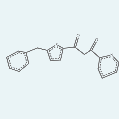 O=C(CC(=O)c1ccc(Cc2ccccc2)s1)c1ccccn1